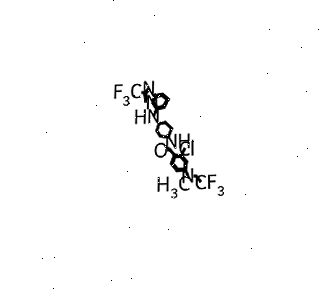 CN(CC(F)(F)F)c1ccc(C(=O)N[C@H]2CC[C@@H](Nc3cccc4nc(C(F)(F)F)cn34)CC2)c(Cl)c1